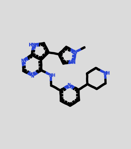 Cn1cc(-c2c[nH]c3ncnc(NCc4cccc(C5CCNCC5)n4)c23)cn1